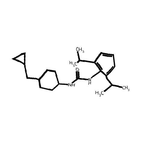 CC(C)c1cccc(C(C)C)c1NC(=O)NC1CCC(CC2CC2)CC1